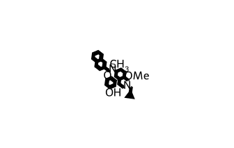 CO[C@]12CC[C@@H](N(C)C(=O)c3ccc4ccccc4c3)C[C@]1(c1cccc(O)c1)CCN(CC1CC1)C2